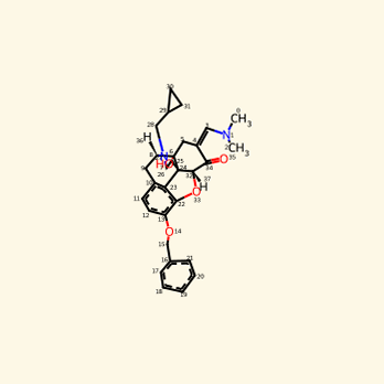 CN(C)C=C1CC2(O)[C@H]3Cc4ccc(OCc5ccccc5)c5c4[C@@]2(CCN3CC2CC2)[C@@H](O5)C1=O